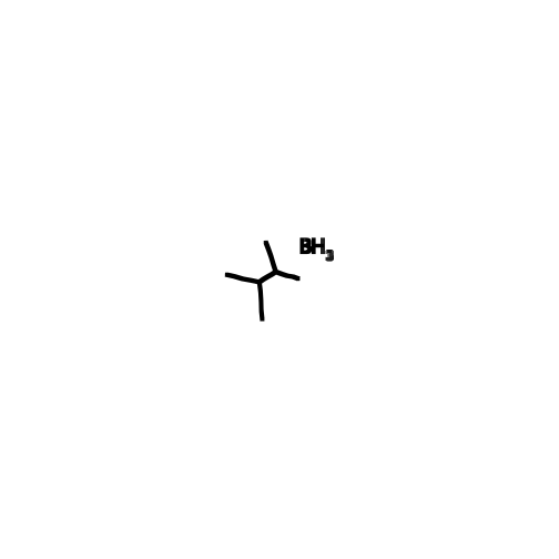 B.CC(C)C(C)C